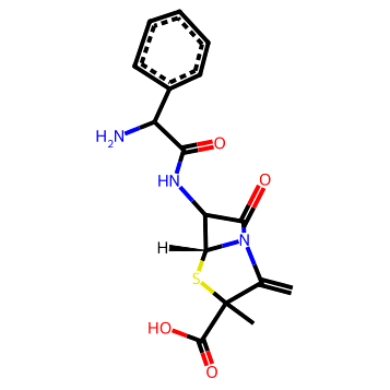 C=C1N2C(=O)C(NC(=O)C(N)c3ccccc3)[C@H]2SC1(C)C(=O)O